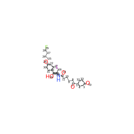 COc1ccc(C(=O)CCCCC(=O)N[C@H](CI)[C@H](O)c2ccc(OCCCCF)cc2)cc1